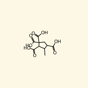 CC1C(C(=O)O)CC(C(=O)O)(C(=O)O)C1C(=O)O